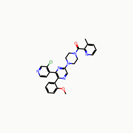 COc1ccccc1-c1ncc(N2CCN(C(=O)c3ncccc3C)CC2)nc1-c1ccncc1Cl